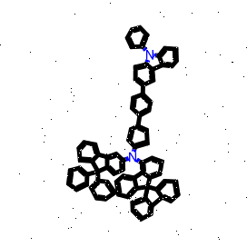 c1ccc(-n2c3ccccc3c3cc(-c4ccc(-c5ccc(N(c6ccc7c(c6)-c6ccccc6C7(c6ccccc6)c6ccccc6)c6cccc7c6-c6ccccc6C76c7ccccc7-c7ccccc76)cc5)cc4)ccc32)cc1